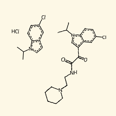 CC(C)n1cc(C(=O)C(=O)NCCN2CCCCC2)c2cc(Cl)ccc21.CC(C)n1ccc2cc(Cl)ccc21.Cl